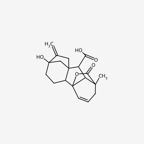 C=C1CC23CC1(O)CCC2C12C=CCC(C)(C(=O)O1)C2C3C(=O)O